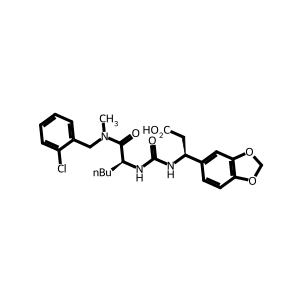 CCCC[C@H](NC(=O)N[C@@H](CC(=O)O)c1ccc2c(c1)OCO2)C(=O)N(C)Cc1ccccc1Cl